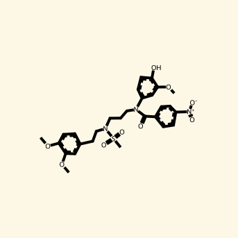 COc1cc(N(CCCN(CCc2ccc(OC)c(OC)c2)S(C)(=O)=O)C(=O)c2ccc([N+](=O)[O-])cc2)ccc1O